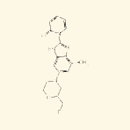 Cc1cc(N2CCOC(CF)C2)cc2[nH]c(-n3ccccc3=O)nc12